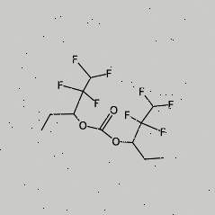 CCC(OC(=O)OC(CC)C(F)(F)C(F)F)C(F)(F)C(F)F